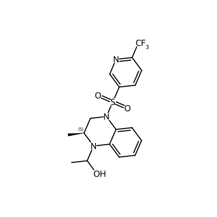 CC(O)N1c2ccccc2N(S(=O)(=O)c2ccc(C(F)(F)F)nc2)C[C@@H]1C